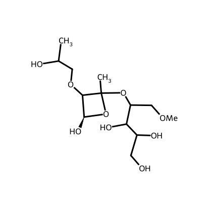 COCC(OC1(C)O[C@@H](O)C1OCC(C)O)C(O)C(O)CO